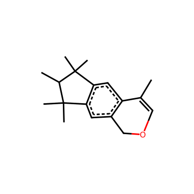 CC1=COCc2cc3c(cc21)C(C)(C)C(C)C3(C)C